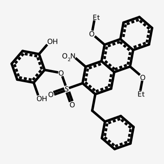 CCOc1c2ccccc2c(OCC)c2c([N+](=O)[O-])c(S(=O)(=O)Oc3c(O)cccc3O)c(Cc3ccccc3)cc12